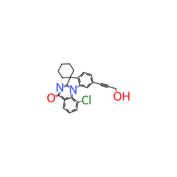 O=c1nc2n(c3c(Cl)cccc13)-c1cc(C#CCO)ccc1C21CCCCC1